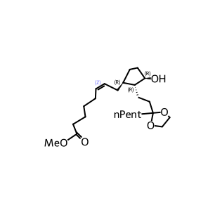 CCCCCC1(CC[C@@H]2[C@@H](C/C=C\CCCCC(=O)OC)CC[C@H]2O)OCCO1